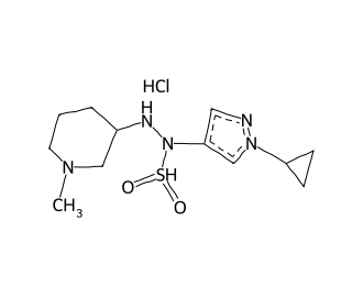 CN1CCCC(NN(c2cnn(C3CC3)c2)[SH](=O)=O)C1.Cl